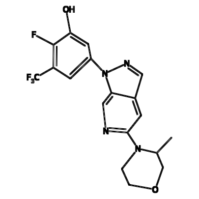 CC1COCCN1c1cc2cnn(-c3cc(O)c(F)c(C(F)(F)F)c3)c2cn1